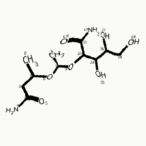 CC(CC(N)=O)O[C@@H](C)OC(C(N)=O)C(O)C(O)CO